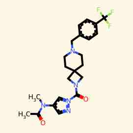 CC(=O)N(C)c1cnn(C(=O)N2CC3(CCN(Cc4ccc(C(F)(F)F)cc4)CC3)C2)c1